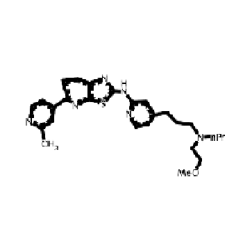 CCCN(CCCc1ccnc(Nc2nc3ccc(-c4ccnc(C)c4)nc3s2)c1)CCOC